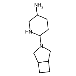 NC1CCC(N2CC3CCC3C2)NC1